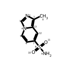 Cc1ncn2ccc(S(N)(=O)=O)cc12